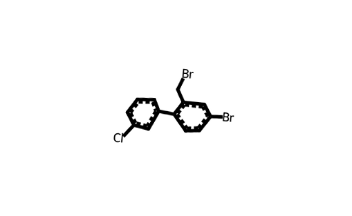 Clc1cccc(-c2ccc(Br)cc2CBr)c1